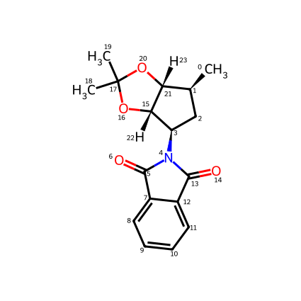 C[C@H]1C[C@@H](N2C(=O)c3ccccc3C2=O)[C@@H]2OC(C)(C)O[C@@H]21